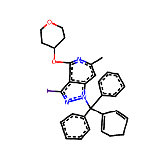 Cc1cc2c(c(I)nn2C(C2=CCCC=C2)(c2ccccc2)c2ccccc2)c(OC2CCOCC2)n1